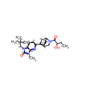 CCC(O)C(=O)N1CC2CCC1C=C2c1ccc2c(n1)n(C)c(=O)n2CC(C)(C)C